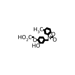 Cc1ccc2oc(=O)n(Cc3ccc(OCC(=O)O)c(O)c3)c2c1